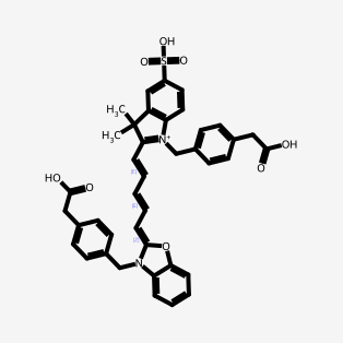 CC1(C)C(/C=C/C=C/C=C2\Oc3ccccc3N2Cc2ccc(CC(=O)O)cc2)=[N+](Cc2ccc(CC(=O)O)cc2)c2ccc(S(=O)(=O)O)cc21